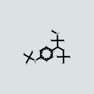 COC(C)(C)C(CC(C)(C)C)c1ccc(OC(C)(C)C)cc1